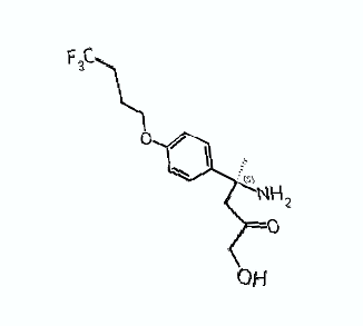 C[C@](N)(CC(=O)CO)c1ccc(OCCCC(F)(F)F)cc1